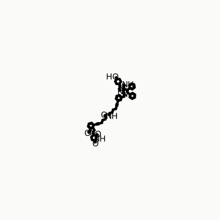 N=c1c2c(-c3ccccc3)c(-c3ccccc3)n(Cc3cccc(C#CCCCCNC(=O)CCCC#Cc4cccc5c4CN(C4CCC(=O)NC4=O)C5=O)c3)c2ncn1C1CCC(O)CC1